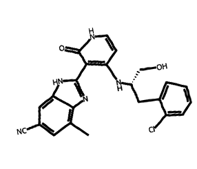 Cc1cc(C#N)cc2[nH]c(-c3c(N[C@H](CO)Cc4ccccc4Cl)cc[nH]c3=O)nc12